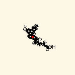 COc1ccc(C(O[C@H]2CC3OC2C2C(=O)N(CCNC(=O)CCC(=O)O)C(=O)C32)(c2ccccc2)c2ccc(OC)cc2)cc1